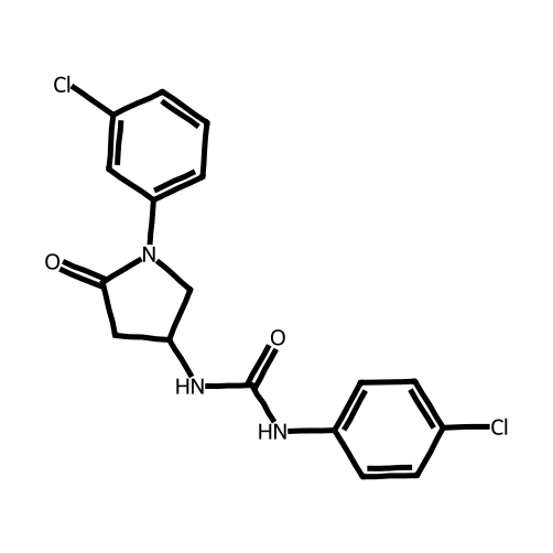 O=C(Nc1ccc(Cl)cc1)NC1CC(=O)N(c2cccc(Cl)c2)C1